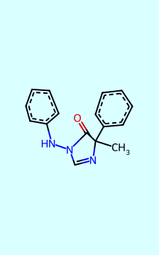 CC1(c2ccccc2)N=CN(Nc2ccccc2)C1=O